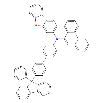 c1ccc(C2(c3ccc(-c4ccc(N(c5ccc6c(c5)oc5ccccc56)c5cc6ccccc6c6ccccc56)cc4)cc3)c3ccccc3-c3ccccc32)cc1